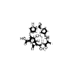 C[C@@H](NC(=O)C(F)F)[C@H]1C(=O)N2C(C(=O)O)=C(S[C@@H]3CN[C@H](C(=O)N4CC[C@H](O)C4)C3)[C@H](C)[C@H]12